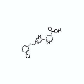 O=C(O)c1ccnc(-c2cn(CCc3cccc(Cl)c3)cn2)c1